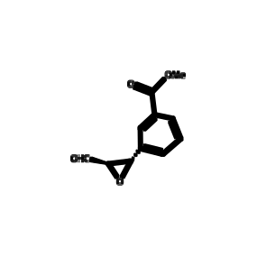 COC(=O)c1cccc([C@@H]2O[C@H]2C=O)c1